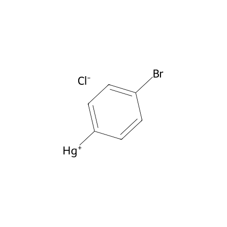 Brc1cc[c]([Hg+])cc1.[Cl-]